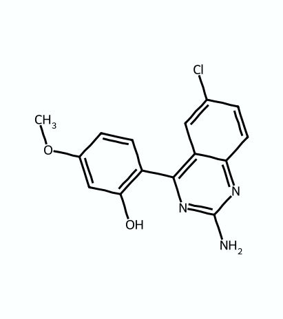 COc1ccc(-c2nc(N)nc3ccc(Cl)cc23)c(O)c1